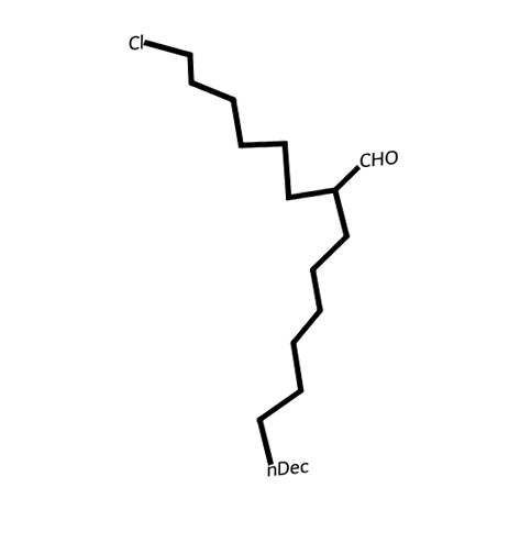 CCCCCCCCCCCCCCCCC(C=O)CCCCCCCl